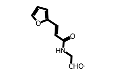 O=[C]CNC(=O)C=Cc1ccco1